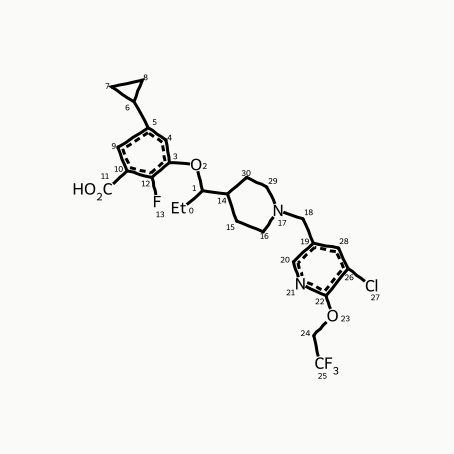 CCC(Oc1cc(C2CC2)cc(C(=O)O)c1F)C1CCN(Cc2cnc(OCC(F)(F)F)c(Cl)c2)CC1